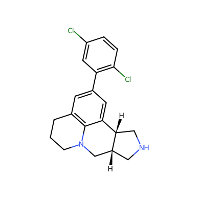 Clc1ccc(Cl)c(-c2cc3c4c(c2)[C@@H]2CNC[C@@H]2CN4CCC3)c1